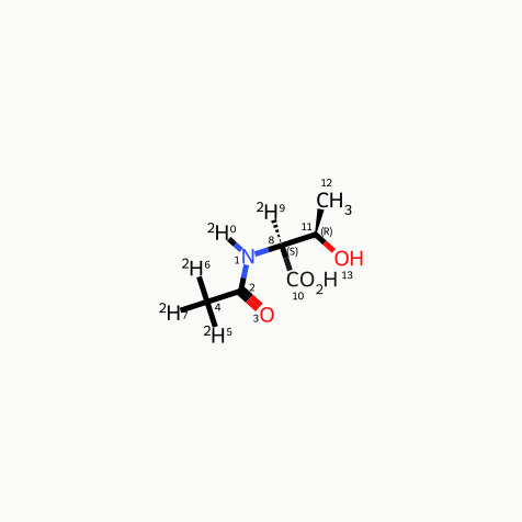 [2H]N(C(=O)C([2H])([2H])[2H])[C@]([2H])(C(=O)O)[C@@H](C)O